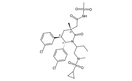 CCC(CN(C)S(=O)(=O)C1CC1)N1C(=O)[C@@](C)(CC(=O)NS(C)(=O)=O)C[C@H](c2cccc(Cl)c2)[C@H]1c1ccc(Cl)cc1